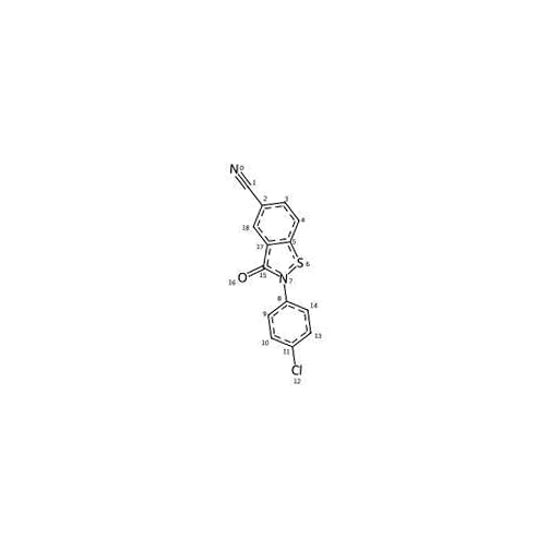 N#Cc1ccc2sn(-c3ccc(Cl)cc3)c(=O)c2c1